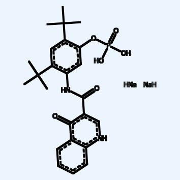 CC(C)(C)c1cc(C(C)(C)C)c(OP(=O)(O)O)cc1NC(=O)c1c[nH]c2ccccc2c1=O.[NaH].[NaH]